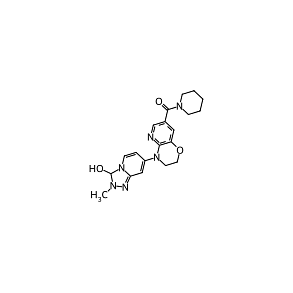 CN1N=C2C=C(N3CCOc4cc(C(=O)N5CCCCC5)cnc43)C=CN2C1O